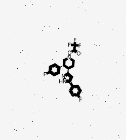 O=C(ON1CC[C@@H](c2cc(-c3ccc(F)cc3)[nH]n2)[C@H](c2ccc(F)cc2)C1)C(F)(F)F